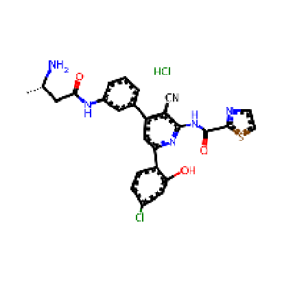 C[C@H](N)CC(=O)Nc1cccc(-c2cc(-c3ccc(Cl)cc3O)nc(NC(=O)c3nccs3)c2C#N)c1.Cl